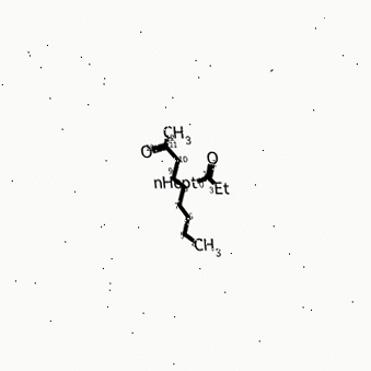 CCCCCCCC(=O)CC.CCCCCCCC(C)=O